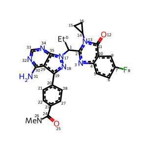 CCC(c1nc2ccc(F)cc2c(=O)n1C1CC1)n1nc(-c2ccc(C(=O)NC)cc2)c2c(N)ncnc21